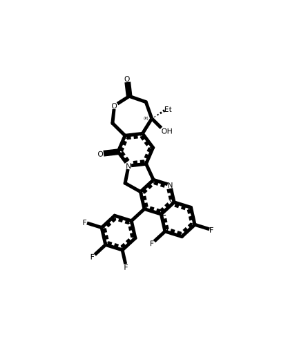 CC[C@@]1(O)CC(=O)OCc2c1cc1n(c2=O)Cc2c-1nc1cc(F)cc(F)c1c2-c1cc(F)c(F)c(F)c1